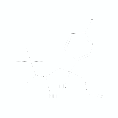 C=CCC(N)(CC(N)C(C)C(C)(C)C)c1ccc(F)cc1